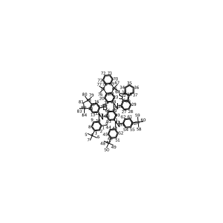 Cc1cc(C(C)(C)C)ccc1N1c2cc3c(cc2B2c4cc5c(cc4N(c4cccc6c4sc4ccccc46)c4cc(N(c6ccc(C(C)(C)C)cc6)c6ccc(C(C)(C)C)cc6)cc1c42)C(C)(C)c1ccccc1C5(C)C)C(C)(C)CC3(C)C